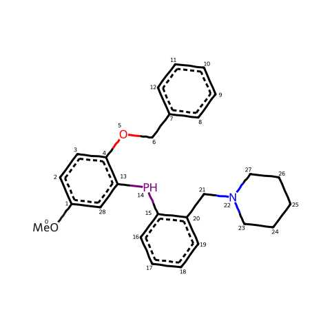 COc1ccc(OCc2ccccc2)c(Pc2ccccc2CN2CCCCC2)c1